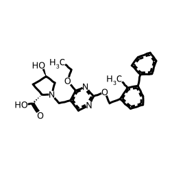 CCOc1nc(OCc2cccc(-c3ccccc3)c2C)ncc1CN1C[C@H](O)C[C@H]1C(=O)O